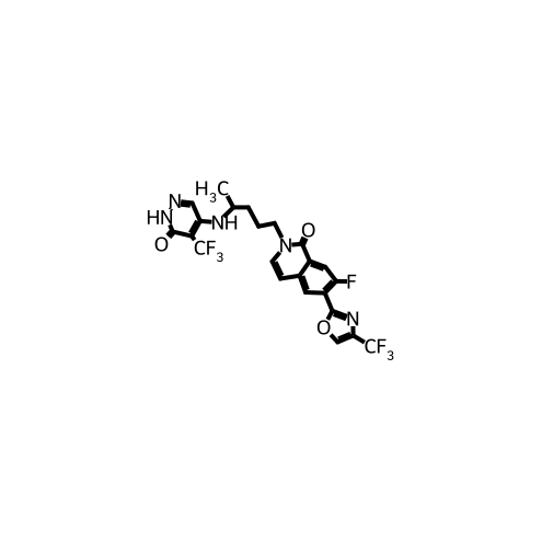 CC(CCCn1ccc2cc(-c3nc(C(F)(F)F)co3)c(F)cc2c1=O)Nc1cn[nH]c(=O)c1C(F)(F)F